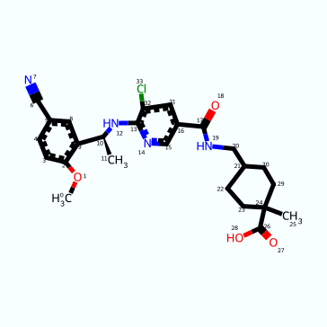 COc1ccc(C#N)cc1[C@H](C)Nc1ncc(C(=O)NCC2CCC(C)(C(=O)O)CC2)cc1Cl